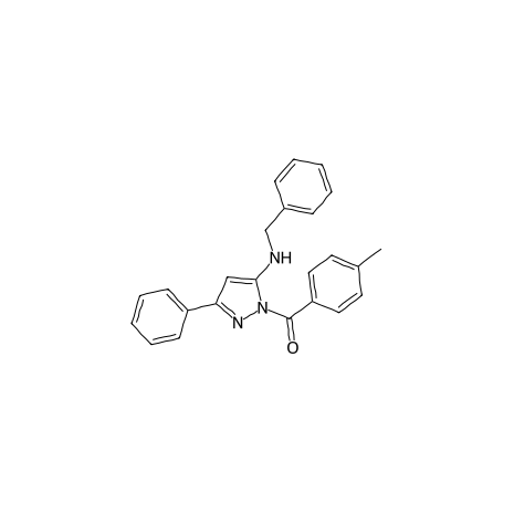 Cc1ccc(C(=O)n2nc(-c3ccccc3)cc2NCc2ccccc2)cc1